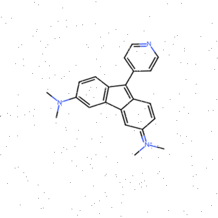 CN(C)c1ccc2c(c1)C1=CC(=[N+](C)C)C=CC1=C2c1ccncc1